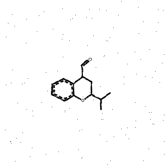 CC(C)C1CC(C=O)c2ccccc2O1